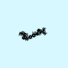 COCC[C@H](NC(=O)OC)C(=O)N1CCC[C@H]1c1ncc(-c2ccc(-c3ccc(-c4cnc([C@@H]5CCCN5C(=O)[C@@H](NC(=O)OC)C(C)C)[nH]4)cc3)cc2)[nH]1